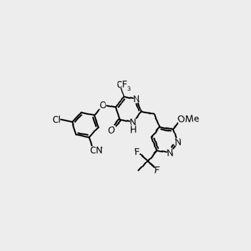 COc1nnc(C(C)(F)F)cc1Cc1nc(C(F)(F)F)c(Oc2cc(Cl)cc(C#N)c2)c(=O)[nH]1